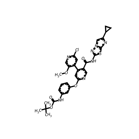 COc1cnc(Cl)cc1-c1cc(Oc2cccc(NC(=O)OC(C)(C)C)c2)ncc1C(=O)Nc1nn2cc(C3CC3)nc2s1